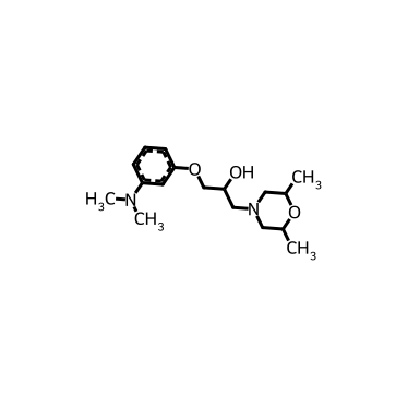 CC1CN(CC(O)COc2cccc(N(C)C)c2)CC(C)O1